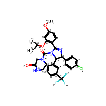 COc1ccc(C2=NC(c3ccc(Cl)cc3)C(c3cccc(C(F)(F)F)c3)N2C(=O)N2CCNC(=O)C2)c(OC(C)C)c1